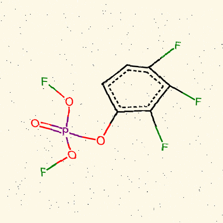 O=P(OF)(OF)Oc1ccc(F)c(F)c1F